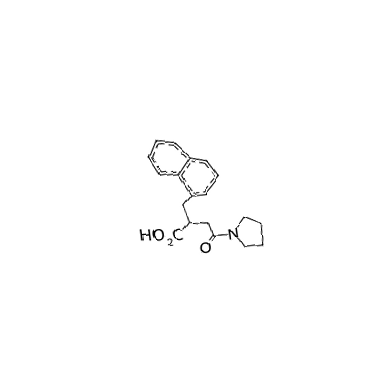 O=C(O)C(CC(=O)N1CCCC1)Cc1cccc2ccccc12